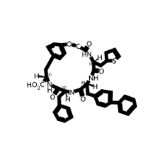 O=C1COc2ccc(cc2)C[C@@H](C(=O)O)NC(=O)[C@H](Cc2ccccc2)NC(=O)[C@@H](Cc2ccc(-c3ccccc3)cc2)NC(=O)[C@H](CC2CC=CS2)N1